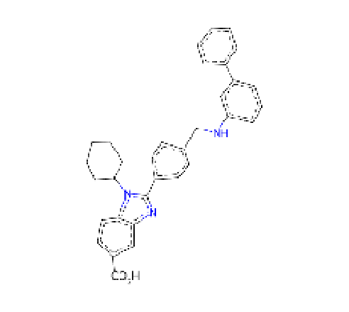 O=C(O)c1ccc2c(c1)nc(-c1ccc(CNc3cccc(-c4ccccc4)c3)cc1)n2C1CCCCC1